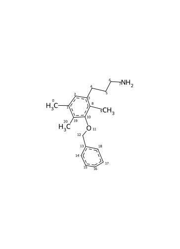 Cc1cc(CCCN)c(C)c(OCc2ccccc2)c1C